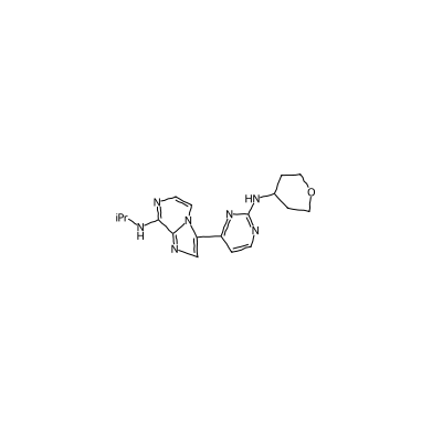 CC(C)Nc1nccn2c(-c3ccnc(NC4CCOCC4)n3)cnc12